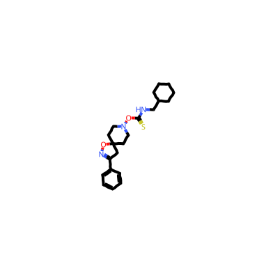 S=C(NCC1CCCCC1)ON1CCC2(CC1)CC(c1ccccc1)=NO2